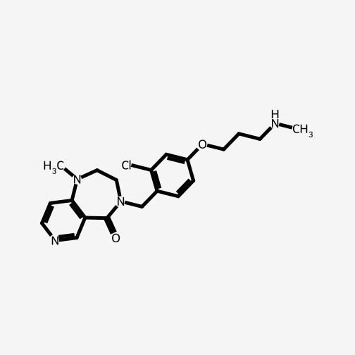 CNCCCOc1ccc(CN2CCN(C)c3ccncc3C2=O)c(Cl)c1